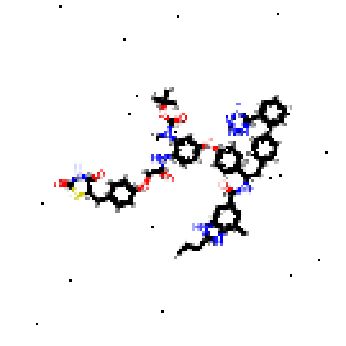 CCCc1nc2c(C)cc(C(=O)NC(Cc3ccc(-c4ccccc4-c4nnn[nH]4)cc3)c3ccc(Oc4ccc(NC(=O)COc5ccc(CC6SC(=O)NC6=O)cc5)c(N(C)C(=O)OC(C)(C)C)c4)cc3)cc2[nH]1